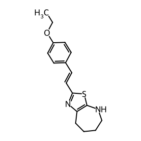 CCOc1ccc(C=Cc2nc3c(s2)NCCCC3)cc1